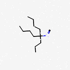 C=NC(CCC)(CCCC)CCCC